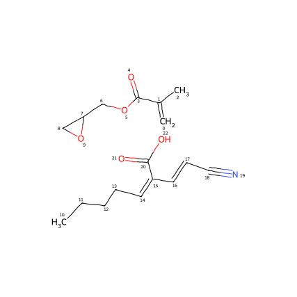 C=C(C)C(=O)OCC1CO1.CCCCC=C(C=CC#N)C(=O)O